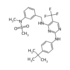 CN(c1cccc(CNc2nc(Nc3ccc(C(C)(C)C)cc3)ncc2C(F)(F)F)c1)S(C)(=O)=O